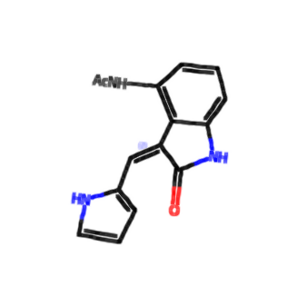 CC(=O)Nc1cccc2c1/C(=C/c1ccc[nH]1)C(=O)N2